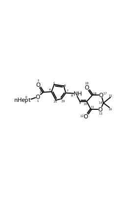 CCCCCCCOC(=O)c1ccc(NC=C2C(=O)OC(C)(C)OC2=O)cc1